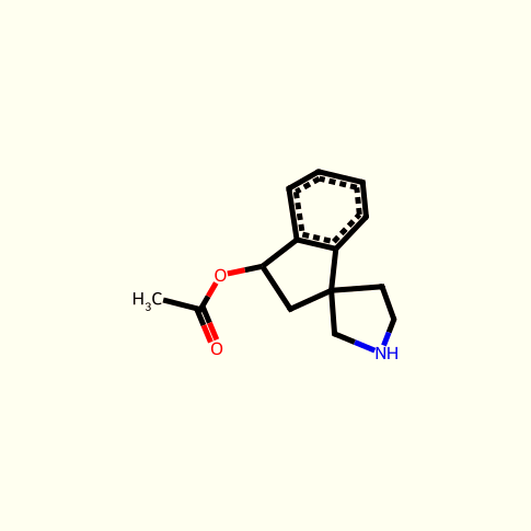 CC(=O)OC1CC2(CCNC2)c2ccccc21